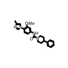 COc1cc(NC(=O)N2CCC(c3ccccc3)CC2)ccc1-n1cnc(C)c1